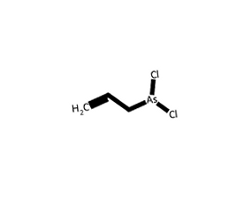 C=CC[As](Cl)Cl